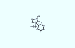 CNC1(c2ccccc2)CCN(C)C1